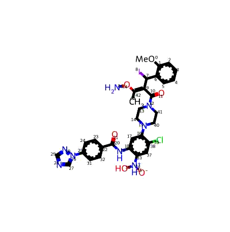 COc1ccccc1C(I)/C(C(=O)N1CCN(c2cc(NC(=O)c3ccc(-n4cncn4)cc3)c([NH+]([O-])O)cc2Cl)CC1)=C(/C)ON